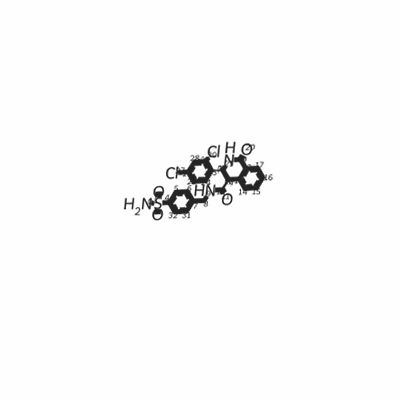 NS(=O)(=O)c1ccc(CNC(=O)[C@@H]2c3ccccc3C(=O)N[C@H]2c2ccc(Cl)cc2Cl)cc1